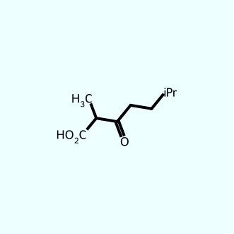 CC(C)CCC(=O)C(C)C(=O)O